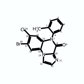 Cc1ccccc1-n1c(=O)c2nccn2c2cc(Br)c(Cl)cc21